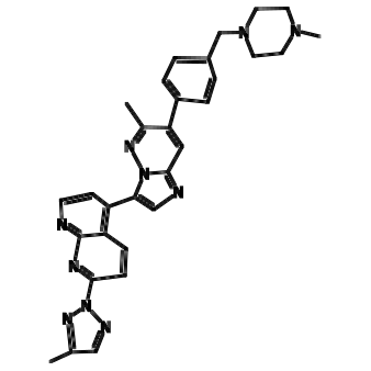 Cc1cnn(-c2ccc3c(-c4cnc5cc(-c6ccc(CN7CCN(C)CC7)cc6)c(C)nn45)ccnc3n2)n1